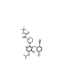 CC(C)Oc1cnc(N2CCC[C@@H](NC(=O)OC(C)(C)C)C2)n(Cc2cc(Cl)ccc2C#N)c1=O